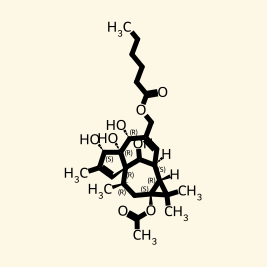 CCCCCC(=O)OCC1=C[C@@H]2C(O)[C@]3(C=C(C)[C@H](O)[C@@]3(O)[C@@H]1O)[C@H](C)C[C@]1(OC(C)=O)[C@H]2C1(C)C